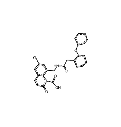 O=C(Cc1ccccc1Oc1ccccc1)NCc1cc(Cl)cc2ccc(=O)n(C(=O)O)c12